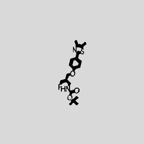 Cc1nc(-c2ccc(OC/C(=C/F)CNC(=O)OC(C)(C)C)cc2)sc1C